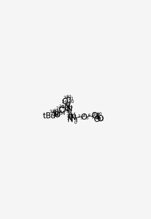 CC(CCOCCCOS(C)(=O)=O)n1cc(-c2nn(C3CCCCO3)c3ccc(O[Si](C)(C)C(C)(C)C)cc23)cn1